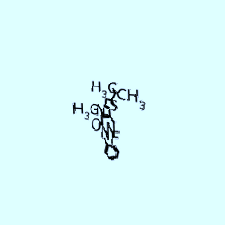 CC(C)c1cc2c(s1)c1cnn(Cc3ccccc3F)c(=O)c1n2C